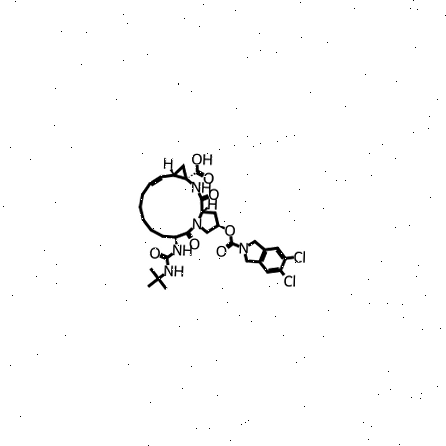 CC(C)(C)NC(=O)N[C@H]1CCCCC/C=C\[C@@H]2C[C@@]2(C(=O)O)NC(=O)[C@@H]2C[C@@H](OC(=O)N3Cc4cc(Cl)c(Cl)cc4C3)CN2C1=O